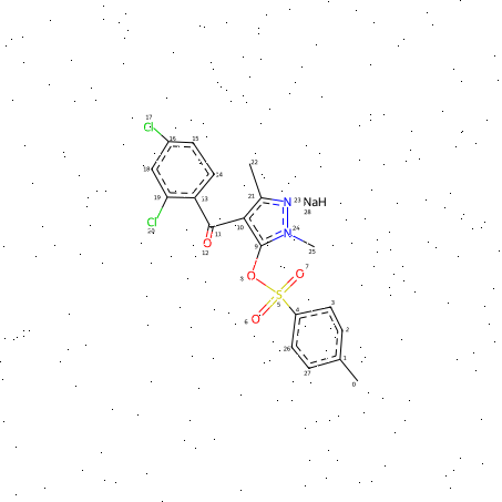 Cc1ccc(S(=O)(=O)Oc2c(C(=O)c3ccc(Cl)cc3Cl)c(C)nn2C)cc1.[NaH]